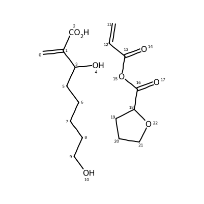 C=C(C(=O)O)C(O)CCCCCO.C=CC(=O)OC(=O)C1CCCO1